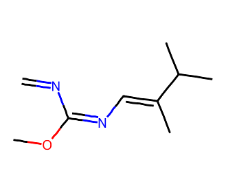 C=N/C(=N\C=C(/C)C(C)C)OC